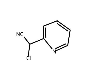 N#CC(Cl)c1ccccn1